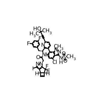 Cn1nc(NS(C)(=O)=O)c2c(Cl)ccc(-c3ccc(C#CC(C)(C)O)nc3[C@H](Cc3cc(F)cc(F)c3)NC(=O)Cn3nc(I)c4c3C(F)(F)[C@@H]3C=C[C@H]43)c21